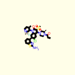 C=CC(=O)N1CCN(c2c(S(C)(=O)=O)c(=O)n(-c3c(C)ccnc3C(C)C)c3c(F)c(-c4cccc5sc(N)nc45)c(Cl)cc23)C[C@H]1C